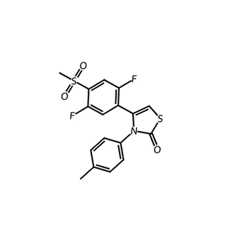 Cc1ccc(-n2c(-c3cc(F)c(S(C)(=O)=O)cc3F)csc2=O)cc1